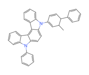 CC1C=C(n2c3ccccc3c3c4c5ccccc5n(-c5ccccc5)c4ccc32)C=CC1c1ccccc1